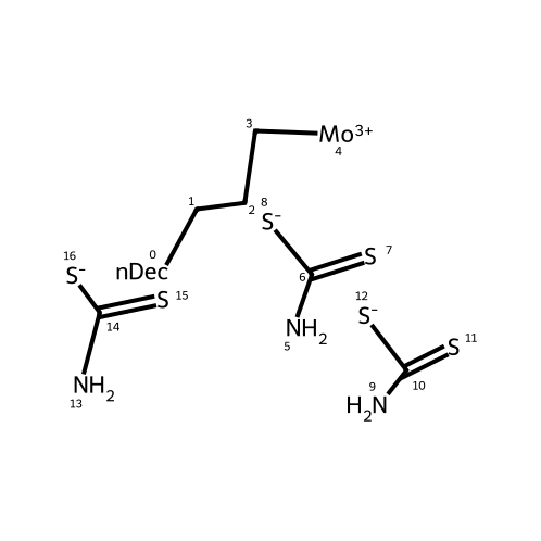 CCCCCCCCCCCC[CH2][Mo+3].NC(=S)[S-].NC(=S)[S-].NC(=S)[S-]